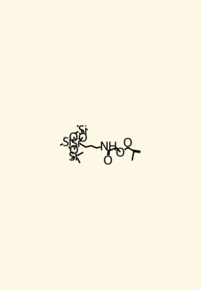 C=C(C)C(=O)OCC(=O)NCCC[Si](O[Si](C)(C)C)(O[Si](C)(C)C)O[Si](C)(C)C